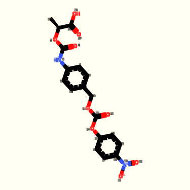 C[C@H](OC(=O)Nc1ccc(COC(=O)Oc2ccc([N+](=O)[O-])cc2)cc1)C(=O)O